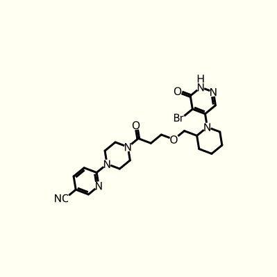 N#Cc1ccc(N2CCN(C(=O)CCOCC3CCCCN3c3cn[nH]c(=O)c3Br)CC2)nc1